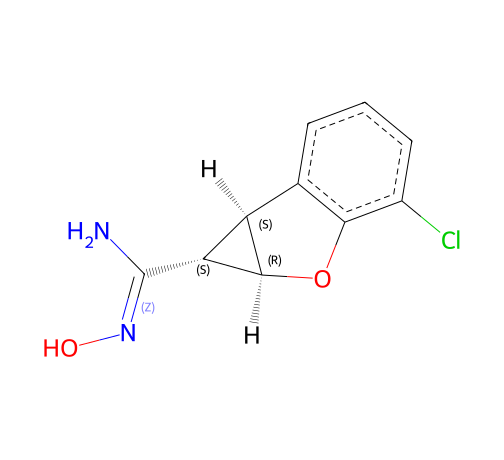 N/C(=N\O)[C@H]1[C@@H]2Oc3c(Cl)cccc3[C@@H]21